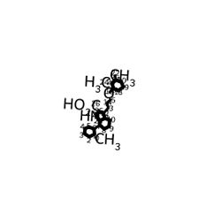 Cc1ccccc1-c1cccc2c(CCCOc3cccc(C)c3C)c(C(=O)O)[nH]c12